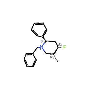 C[C@@H]1CN(Cc2ccccc2)[C@@H](c2ccccc2)C[C@@H]1F